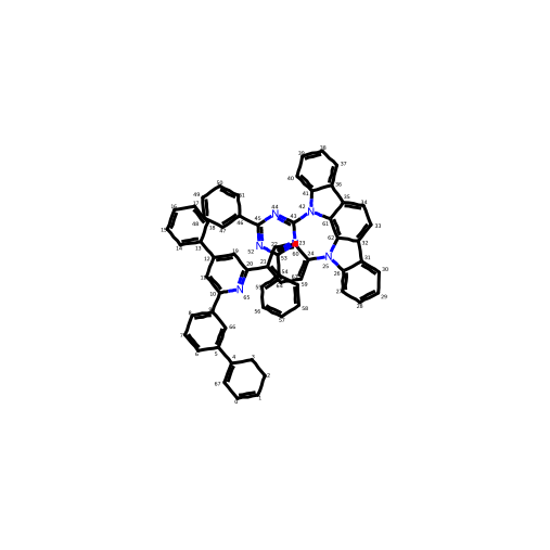 C1=CCCC(c2cccc(-c3cc(-c4ccccc4)cc(-c4ccc(-n5c6ccccc6c6ccc7c8ccccc8n(-c8nc(-c9ccccc9)nc(-c9ccccc9)n8)c7c65)cc4)n3)c2)=C1